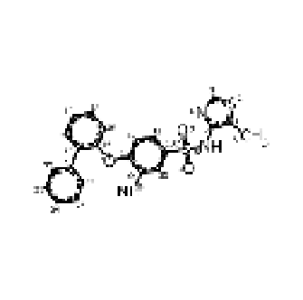 Cc1scnc1NS(=O)(=O)c1ccc(Oc2ccccc2-c2ccccc2)c(C#N)c1